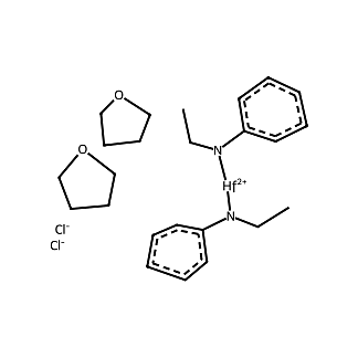 C1CCOC1.C1CCOC1.CC[N]([Hf+2][N](CC)c1ccccc1)c1ccccc1.[Cl-].[Cl-]